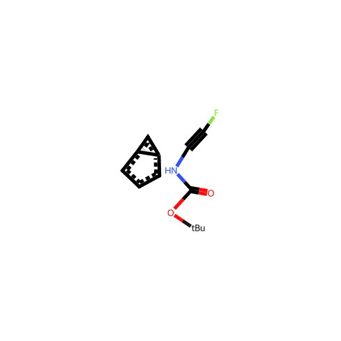 CC(C)(C)OC(=O)NC#CF.c1cc2cc-2c1